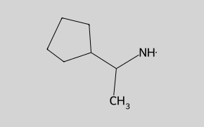 CC([NH])C1CCCC1